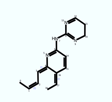 C\C=C/C=c1/nc(NC2=NCCC=N2)cc/c1=C/C